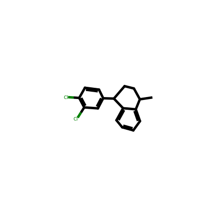 CC1CCC(c2ccc(Cl)c(Cl)c2)c2ccccc21